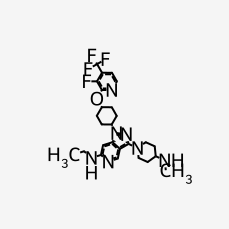 CCNc1cc2c(cn1)c(N1CCC(NC)CC1)nn2[C@H]1CC[C@@H](Oc2nccc(C(F)(F)F)c2F)CC1